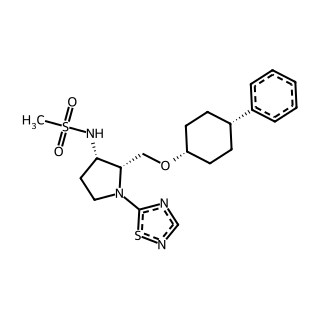 CS(=O)(=O)N[C@H]1CCN(c2ncns2)[C@H]1CO[C@H]1CC[C@@H](c2ccccc2)CC1